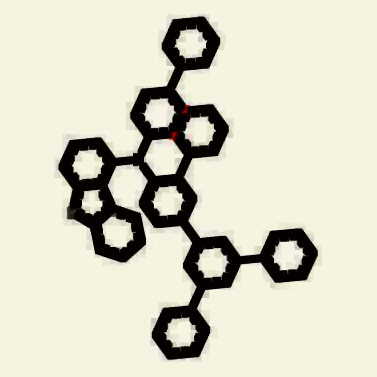 c1ccc(-c2ccc(N(c3ccc(-c4cc(-c5ccccc5)cc(-c5ccccc5)c4)cc3-c3ccccc3)c3cccc4sc5ccccc5c34)cc2)cc1